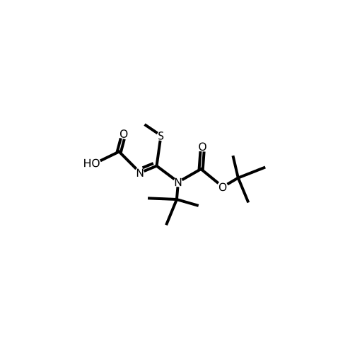 CSC(=NC(=O)O)N(C(=O)OC(C)(C)C)C(C)(C)C